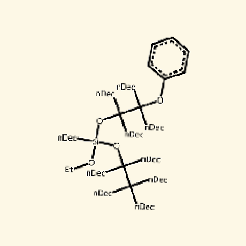 CCCCCCCCCCC(CCCCCCCCCC)(CCCCCCCCCC)C(CCCCCCCCCC)(CCCCCCCCCC)O[Si](CCCCCCCCCC)(OCC)OC(CCCCCCCCCC)(CCCCCCCCCC)C(CCCCCCCCCC)(CCCCCCCCCC)Oc1ccccc1